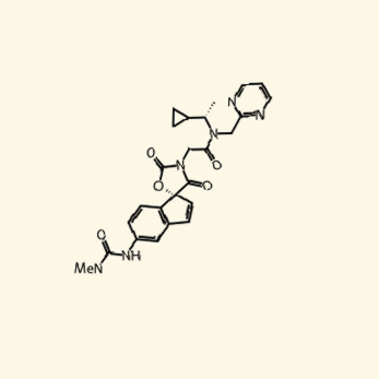 CNC(=O)Nc1ccc2c(c1)C=C[C@@]21OC(=O)N(CC(=O)N(Cc2ncccn2)[C@@H](C)C2CC2)C1=O